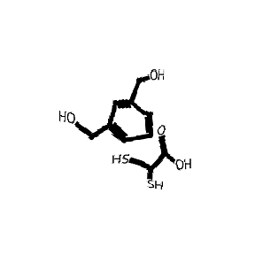 O=C(O)C(S)S.OCc1cccc(CO)c1